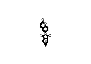 O=C1C2C3CCC(C4CC43)C2C(=O)N1c1ccc2oc(=O)ccc2c1